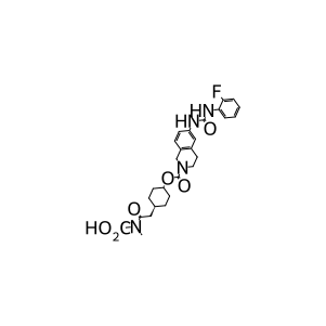 CN(C(=O)O)C(=O)C[C@H]1CC[C@H](OC(=O)N2CCc3cc(NC(=O)Nc4ccccc4F)ccc3C2)CC1